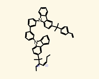 C=Cc1ccc(C(C)(C)c2ccc3c(c2)c2ccccc2n3-c2cccc(-c3cccc(-n4c5ccccc5c5cc(C(C)(C)C(/C=C\CC)=C/C)ccc54)c3)c2)cc1